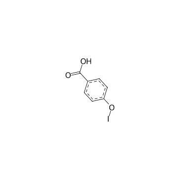 O=C(O)c1ccc(OI)cc1